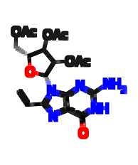 C=Cc1nc2c(=O)[nH]c(N)nc2n1[C@@H]1O[C@H](COC(C)=O)C(OC(C)=O)C1OC(C)=O